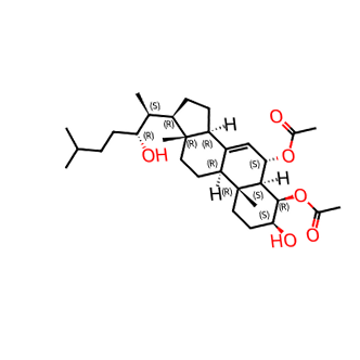 CC(=O)O[C@@H]1[C@@H]2[C@@H](OC(C)=O)C=C3[C@H](CC[C@]4(C)[C@@H]([C@H](C)[C@H](O)CCC(C)C)CC[C@@H]34)[C@@]2(C)CC[C@@H]1O